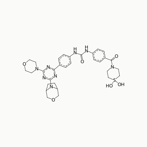 O=C(Nc1ccc(C(=O)N2CCS(O)(O)CC2)cc1)Nc1ccc(-c2nc(N3CCOCC3)nc(N3C4CCC3COC4)n2)cc1